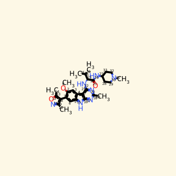 COc1cc2c(cc1-c1c(C)noc1C)[nH]c1nc(C)nc(N[C@H](C(=O)NC3CCN(C)CC3)C(C)C)c12